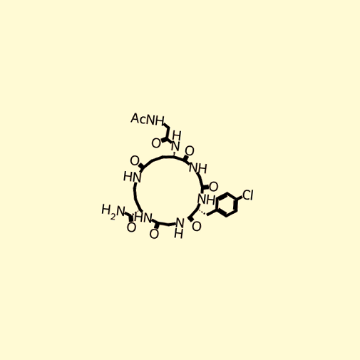 CC(=O)NCC(=O)N[C@H]1CCC(=O)NCC[C@@H](C(N)=O)NC(=O)CNC(=O)[C@@H](Cc2ccc(Cl)cc2)NC(=O)CNC1=O